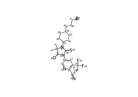 CC1(C)C(=O)N(c2cnc(C#N)c(C(F)(F)F)c2)C(=S)N1C1CCC(CCCBr)CC1